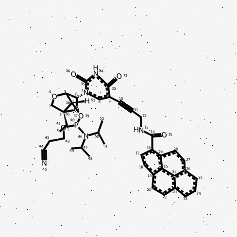 CC[C@]12COC([C@H](n3cc(C#CCNC(=O)c4ccc5ccc6cccc7ccc4c5c67)c(=O)[nH]c3=O)O1)[C@@H]2OP(OCCC#N)N(C(C)C)C(C)C